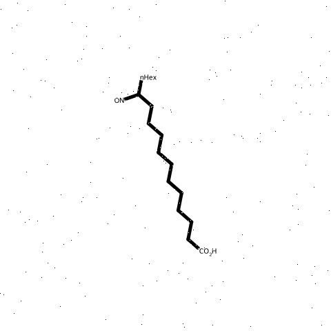 CCCCCCC(CCCCCCCCCCC(=O)O)N=O